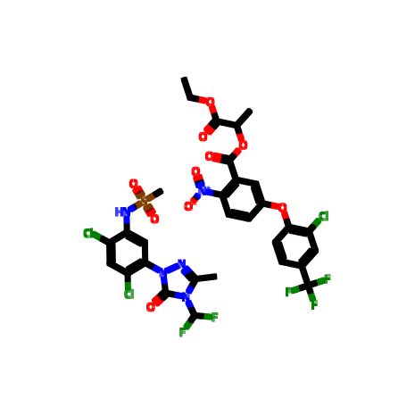 CCOC(=O)C(C)OC(=O)c1cc(Oc2ccc(C(F)(F)F)cc2Cl)ccc1[N+](=O)[O-].Cc1nn(-c2cc(NS(C)(=O)=O)c(Cl)cc2Cl)c(=O)n1C(F)F